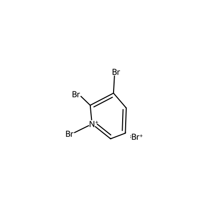 Brc1ccc[n+](Br)c1Br.[Br+]